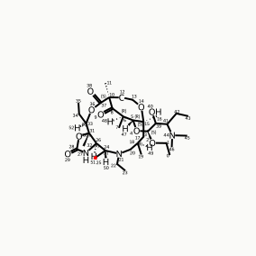 CCO[C@@H](O[C@@H]1[C@@H](C)C(=O)[C@]2(C)CCO[C@@]1(C)C[C@@H](C)CN(CC)[C@H](C)[C@H]1NC(=O)O[C@]1(C)[C@@H](CC)OC2=O)C(O)C(CC)N(C)C